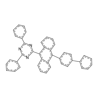 c1ccc(-c2ccc(-c3c4ccccc4c(-c4nc(-c5ccccc5)nc(-c5ccccc5)n4)c4ccccc34)cc2)cc1